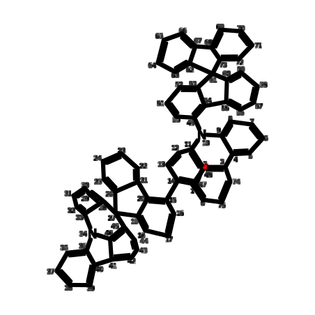 c1ccc(-c2ccccc2N(c2ccc(-c3cccc4c3-c3ccccc3C43c4ccccc4-n4c5ccccc5c5cccc3c54)cc2)c2cccc3c2-c2ccccc2C32c3ccccc3-c3ccccc32)cc1